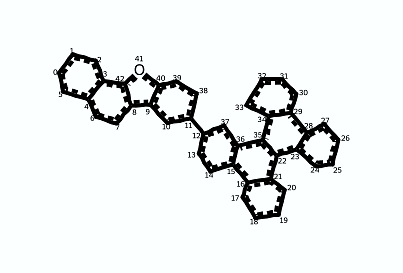 c1ccc2c(c1)ccc1c3cc(-c4ccc5c6ccccc6c6c7ccccc7c7ccccc7c6c5c4)ccc3oc21